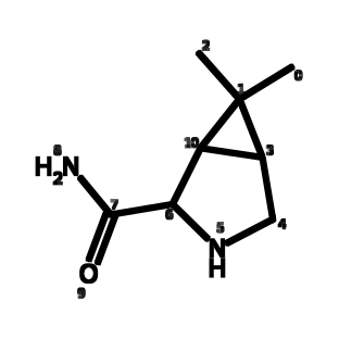 CC1(C)C2CNC(C(N)=O)C21